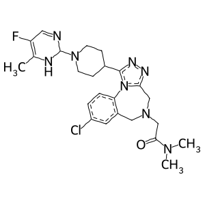 CC1=C(F)C=NC(N2CCC(c3nnc4n3-c3ccc(Cl)cc3CN(CC(=O)N(C)C)C4)CC2)N1